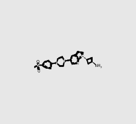 CS(=O)(=O)c1ccc(N2CCN(c3cnc4c(ccn4[C@H]4C[C@H](N)C4)c3)CC2)cc1